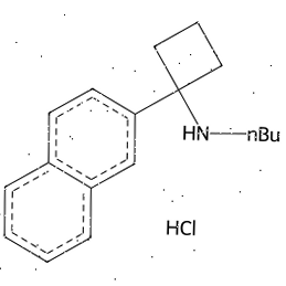 CCCCNC1(c2ccc3ccccc3c2)CCC1.Cl